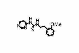 COc1ccccc1CCNC(=S)Nc1ccncn1